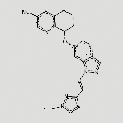 Cn1ccc(C=Cn2ncc3ccc(OC4CCCc5cc(C#N)cnc54)cc32)n1